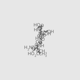 CC(C)(ON=C(C(=O)N[C@H]1CN(C(=O)NS(=O)(=O)n2nc(-c3cc(=O)c(O)c[nH]3)n(CC(O)CO)c2=O)C1=O)c1csc(N)n1)C(=O)O